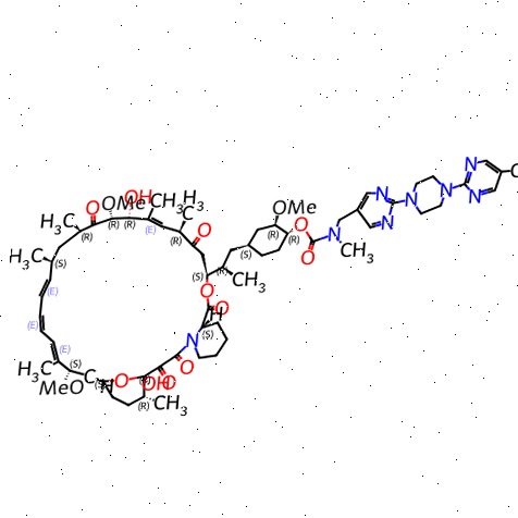 CO[C@H]1C[C@@H]2CC[C@@H](C)[C@@](O)(O2)C(=O)C(=O)N2CCCC[C@H]2C(=O)O[C@H]([C@H](C)C[C@@H]2CC[C@@H](OC(=O)N(C)Cc3cnc(N4CCN(c5ncc(C)cn5)CC4)nc3)[C@H](OC)C2)CC(=O)[C@H](C)/C=C(\C)[C@@H](O)[C@@H](OC)C(=O)[C@H](C)C[C@H](C)/C=C/C=C/C=C/1C